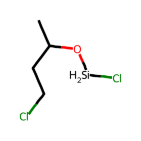 CC(CCCl)O[SiH2]Cl